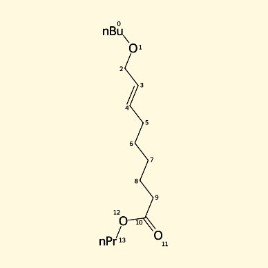 CCCCOCC=CCCCCCC(=O)OCCC